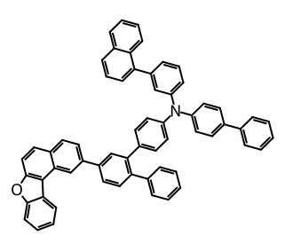 c1ccc(-c2ccc(N(c3ccc(-c4cc(-c5ccc6ccc7oc8ccccc8c7c6c5)ccc4-c4ccccc4)cc3)c3cccc(-c4cccc5ccccc45)c3)cc2)cc1